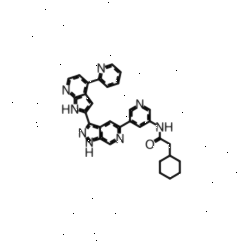 O=C(CC1CCCCC1)Nc1cncc(-c2cc3c(-c4cc5c(-c6ccccn6)ccnc5[nH]4)n[nH]c3cn2)c1